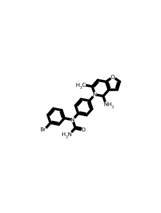 CC1=Cc2occc2C(N)N1c1ccc(N(C(N)=O)c2cccc(Br)c2)cc1